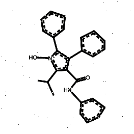 CC(C)c1c(C(=O)Nc2ccccc2)c(-c2ccccc2)c(-c2ccccc2)n1O